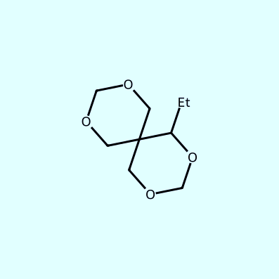 CCC1OCOCC12COCOC2